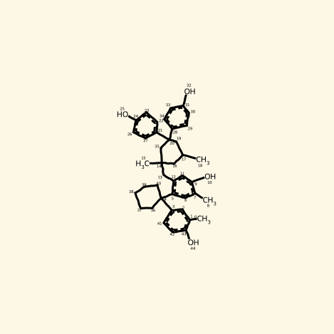 Cc1cc(C2(c3cc(C)c(O)cc3CC3(C)CC(C)CC(c4ccc(O)cc4)(c4ccc(O)cc4)C3)CCCCC2)ccc1O